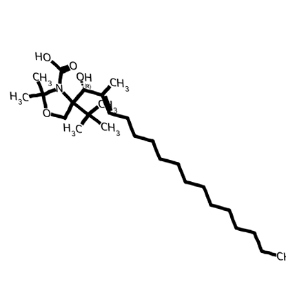 CCCCCCCCCCCCCC=C(C)[C@@H](O)C1(C(C)(C)C)COC(C)(C)N1C(=O)O